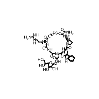 N=C(N)NCCCC[C@@H]1NC(=O)CCSSC[C@@H](C(N)=O)NC(=O)[C@@H]2CCCN2C(=O)[C@H](Cc2c[nH]c3ccccc23)NC(=O)[C@H](CC(=O)O)NC(=O)CNC1=O.O=C1O[C@H]([C@@H](O)CO)C(O)=C1O